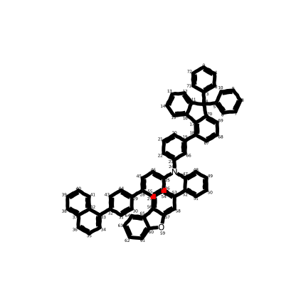 c1ccc(C2(c3ccccc3)c3ccccc3-c3c(-c4cccc(N(c5ccc(-c6ccc(-c7cccc8ccccc78)cc6)cc5)c5ccccc5-c5ccc6c(c5)oc5ccccc56)c4)cccc32)cc1